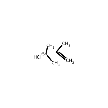 C=CC.Cl.[CH3][Sn][CH3]